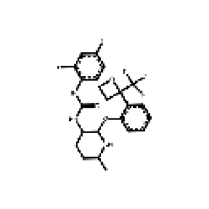 CC1CCC(NC(=O)Nc2ccc(Cl)cc2F)C(Oc2ccccc2C2(C(F)(F)F)CCO2)N1